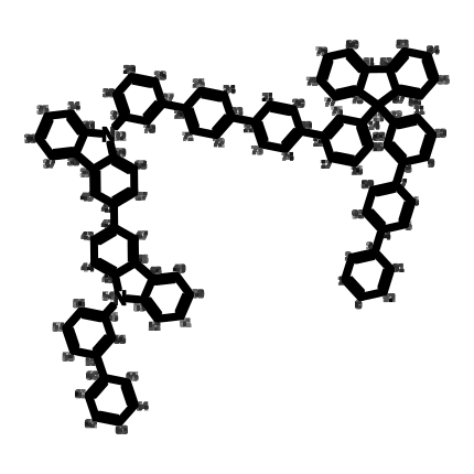 c1ccc(-c2ccc(-c3cccc(C4(c5cccc(-c6ccc(-c7ccc(-c8cccc(-n9c%10ccccc%10c%10cc(-c%11ccc%12c(c%11)c%11ccccc%11n%12-c%11cccc(-c%12ccccc%12)c%11)ccc%109)c8)cc7)cc6)c5)c5ccccc5-c5ccccc54)c3)cc2)cc1